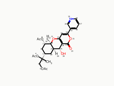 CC(=O)OCC(C)(OC(C)=O)[C@@H]1C[C@H](OC(C)=O)[C@@]2(C)Oc3cc(-c4cccnc4)oc(=O)c3[C@H](O)[C@H]2C1